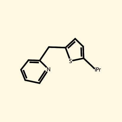 CC(C)c1ccc(Cc2ccccn2)s1